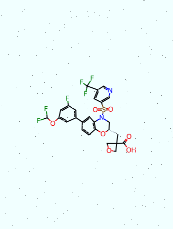 O=C(O)C1(C[C@H]2CN(S(=O)(=O)c3cncc(C(F)(F)F)c3)c3cc(-c4cc(F)cc(OC(F)F)c4)ccc3O2)COC1